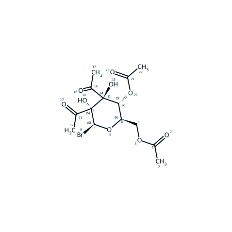 CC(=O)OC[C@H]1O[C@@H](Br)[C@@](O)(C(C)=O)[C@](O)(C(C)=O)[C@@H]1OC(C)=O